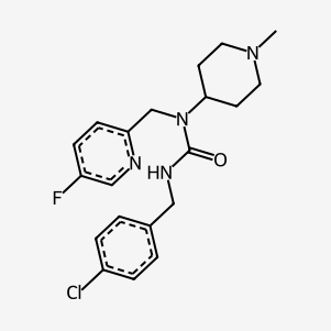 CN1CCC(N(Cc2ccc(F)cn2)C(=O)NCc2ccc(Cl)cc2)CC1